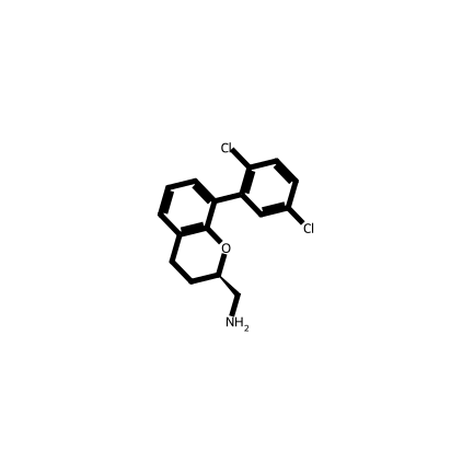 NC[C@H]1CCc2cccc(-c3cc(Cl)ccc3Cl)c2O1